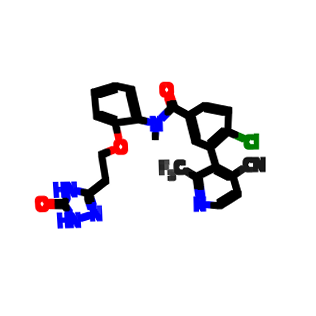 CN(C(=O)c1ccc(Cl)c(-c2c(C#N)ccnc2C(F)(F)F)c1)c1ccccc1OCCc1n[nH]c(=O)[nH]1